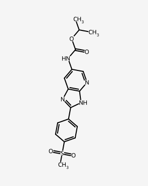 CC(C)OC(=O)Nc1cnc2[nH]c(-c3ccc(S(C)(=O)=O)cc3)nc2c1